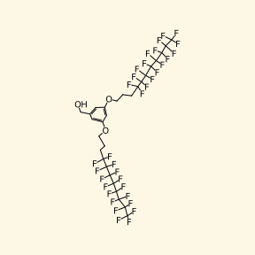 OCc1cc(OCCCC(F)(F)C(F)(F)C(F)(F)C(F)(F)C(F)(F)C(F)(F)C(F)(F)C(F)(F)F)cc(OCCCC(F)(F)C(F)(F)C(F)(F)C(F)(F)C(F)(F)C(F)(F)C(F)(F)C(F)(F)F)c1